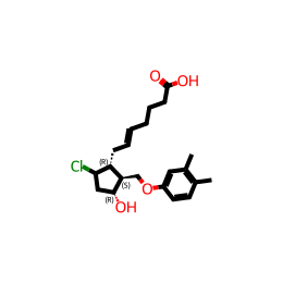 Cc1ccc(OC[C@H]2[C@H](O)CC(Cl)[C@@H]2CC=CCCCC(=O)O)cc1C